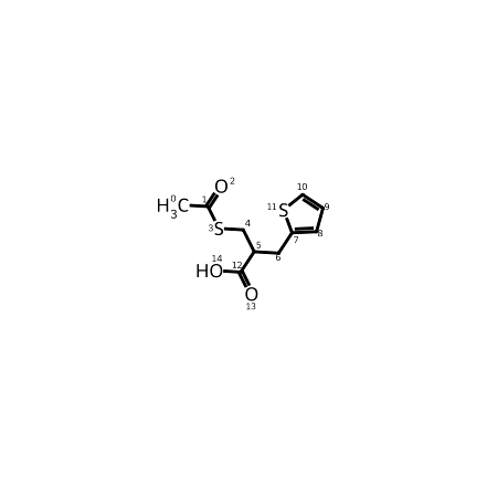 CC(=O)SCC(Cc1cccs1)C(=O)O